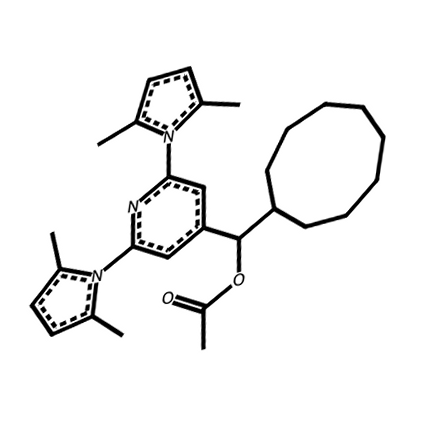 CC(=O)OC(c1cc(-n2c(C)ccc2C)nc(-n2c(C)ccc2C)c1)C1CCCCCCCC1